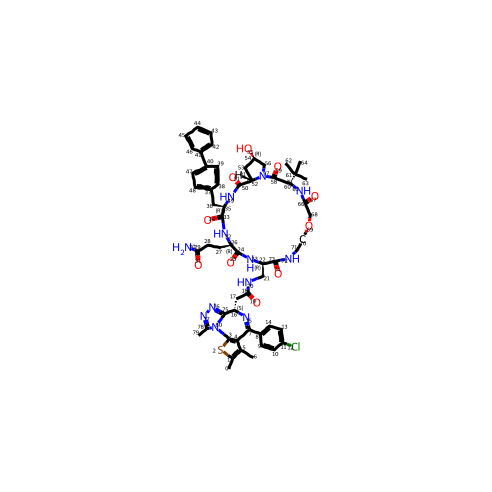 Cc1sc2c(c1C)C(c1ccc(Cl)cc1)=N[C@@H](CC(=O)NC[C@H]1NC(=O)[C@@H](CCC(N)=O)NC(=O)[C@@H](Cc3ccc(-c4ccccc4)cc3)NC(=O)[C@@H]3C[C@@H](O)CN3C(=O)[C@H](C(C)(C)C)NC(=O)COCCNC1=O)c1nnc(C)n1-2